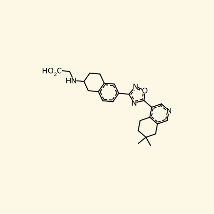 CC1(C)CCc2c(cncc2-c2nc(-c3ccc4c(c3)CCC(NCC(=O)O)C4)no2)C1